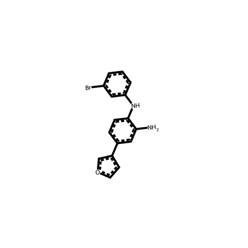 Nc1cc(-c2ccoc2)ccc1Nc1cccc(Br)c1